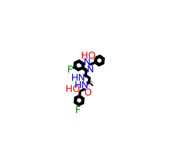 C[C@H](CC(=N)c1nc(-c2ccccc2O)nc2ccc(F)cc12)NC(=O)C(O)c1ccc(F)cc1